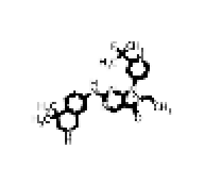 CCn1c(=O)c2cnc(Nc3ccc4c(c3)CNCC4(C)C)nc2n1-c1ccnc(C(C)(C)F)c1